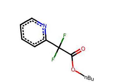 CCCCOC(=O)C(F)(F)c1ccccn1